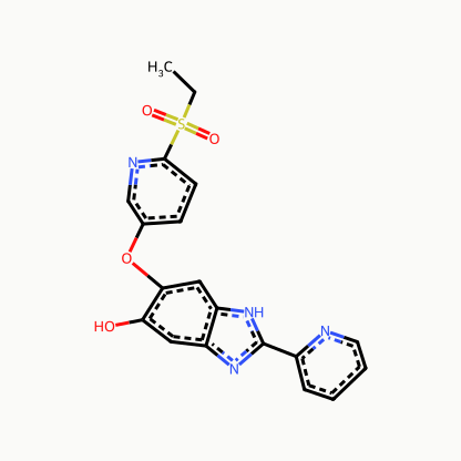 CCS(=O)(=O)c1ccc(Oc2cc3[nH]c(-c4ccccn4)nc3cc2O)cn1